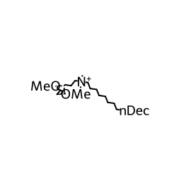 CCCCCCCCCCCCCCCCCC[N+](C)(C)CCC[Si](C)(OC)OC